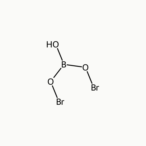 OB(OBr)OBr